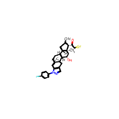 CC(=O)OC1C[C@H]2[C@@H]3CCC4=Cc5c(cnn5-c5ccc(F)cc5)C[C@]4(C)[C@H]3[C@@H](O)C[C@]2(C)[C@H]1C(=O)CS